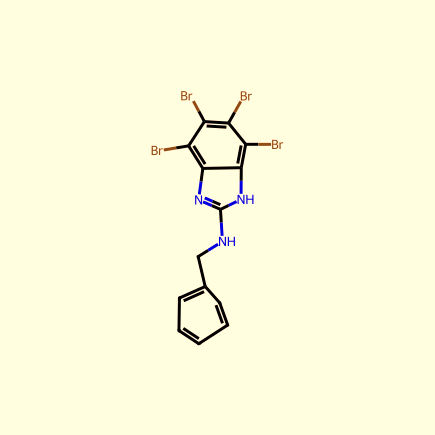 Brc1c(Br)c(Br)c2[nH]c(NCc3ccccc3)nc2c1Br